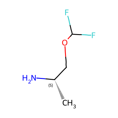 C[C@H](N)COC(F)F